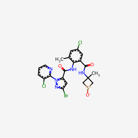 Cc1cc(Cl)cc(C(=O)NC2(C)C[S+]([O-])C2)c1NC(=O)c1cc(Br)nn1-c1ncccc1Cl